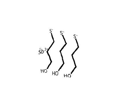 OCCC[S-].OCCC[S-].OCCC[S-].[Sb+3]